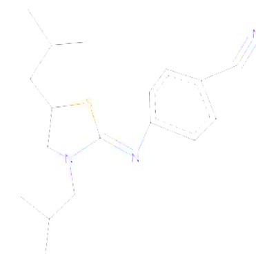 CC(C)CC1CN(CC(C)C)C(=Nc2ccc(C#N)cc2)S1